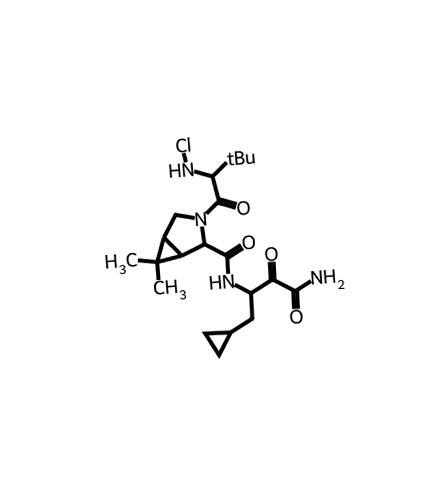 CC(C)(C)C(NCl)C(=O)N1CC2C(C1C(=O)NC(CC1CC1)C(=O)C(N)=O)C2(C)C